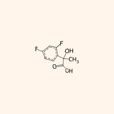 CC(O)(C(=O)O)c1ccc(F)cc1F